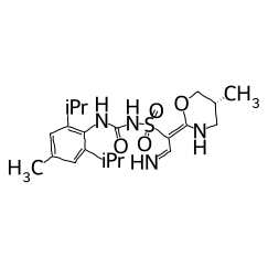 Cc1cc(C(C)C)c(NC(=O)NS(=O)(=O)/C(C=N)=C2/NC[C@@H](C)CO2)c(C(C)C)c1